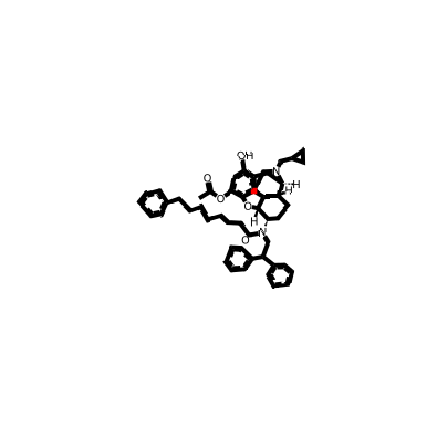 CC(=O)Oc1cc(O)c2c3c1O[C@H]1[C@@H](N(CC(c4ccccc4)c4ccccc4)C(=O)CCCCCCCc4ccccc4)CC[C@H]4[C@@H](C2)N(CC2CC2)CC[C@@]341